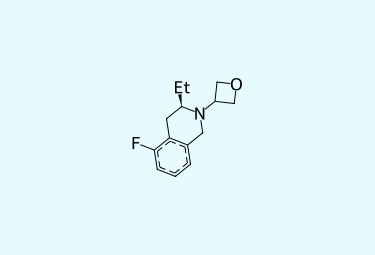 CC[C@@H]1Cc2c(F)cccc2CN1C1COC1